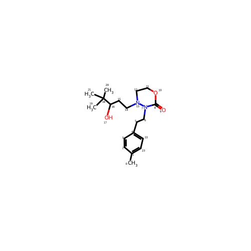 Cc1ccc(CCN2C(=O)OCCN2CCC(O)C(C)(C)C)cc1